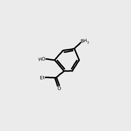 Bc1ccc(C(=O)CC)c(O)c1